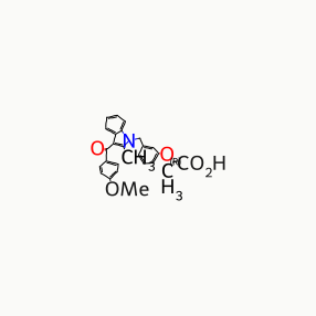 COc1ccc(C(=O)c2c(C)n(Cc3cccc(O[C@H](C)C(=O)O)c3)c3ccccc23)cc1